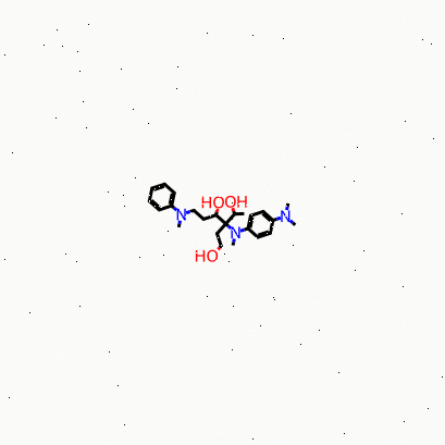 CC(O)C(CCO)(C(O)CCN(C)c1ccccc1)N(C)c1ccc(N(C)C)cc1